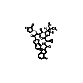 CC1(C)[C@@H]2[C@@H](C(=O)N[C@@H](C[C@@H]3CCNC3=O)C(=O)c3nc4ccccc4s3)N(C(=O)[C@@H](NC(=O)c3cc4c(F)cccc4[nH]3)C3CC3)C[C@@H]21